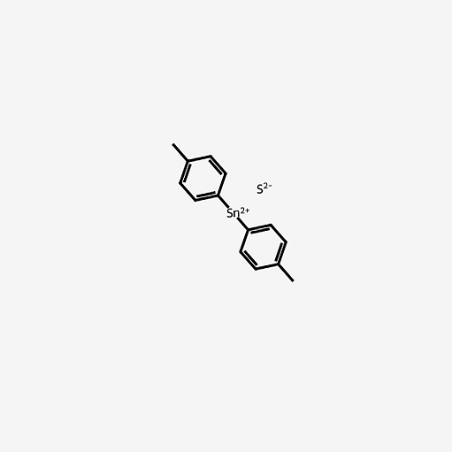 Cc1cc[c]([Sn+2][c]2ccc(C)cc2)cc1.[S-2]